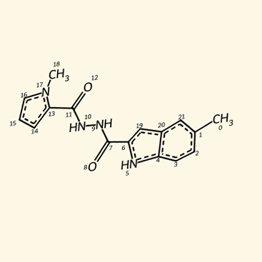 Cc1ccc2[nH]c(C(=O)NNC(=O)c3cccn3C)cc2c1